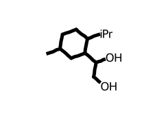 CC1CCC(C(C)C)C(C(O)CO)C1